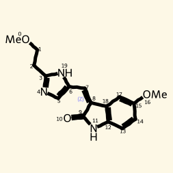 COCCc1ncc(/C=C2\C(=O)Nc3ccc(OC)cc32)[nH]1